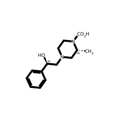 C[C@@H]1CN(C[C@H](O)c2ccccc2)CCN1C(=O)O